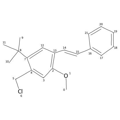 COc1cc(CCl)c(C(C)(C)C)cc1C=Cc1ccccc1